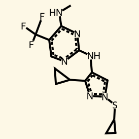 CNc1nc(Nc2cn(SC3CC3)nc2C2CC2)ncc1C(F)(F)F